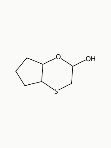 OC1CSC2CCCC2O1